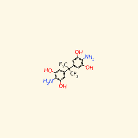 Nc1c(O)cc(C(c2cc(O)c(N)c(O)c2)(C(F)(F)F)C(F)(F)F)cc1O